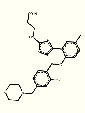 Cc1ccc(OCc2ccc(CN3CCOCC3)cc2C)c(-c2csc(NCCC(=O)O)n2)c1